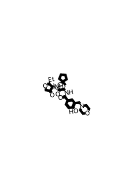 CC[C@@H]1OCC(=O)[C@H]1NC(=O)[C@H](CC1(C)CCCC1)NC(=O)c1ccc(O)c(CN2CCOCC2)c1